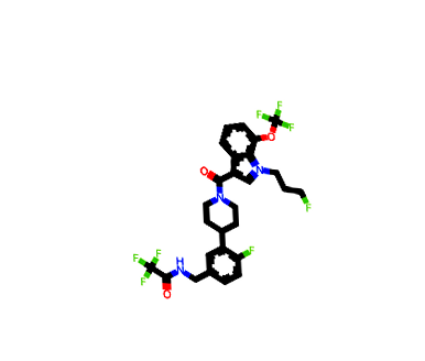 O=C(c1cn(CCCF)c2c(OC(F)(F)F)cccc12)N1CCC(c2cc(CNC(=O)C(F)(F)F)ccc2F)CC1